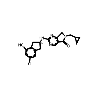 N#Cc1cc(Cl)cc2c1C[C@@H](Nc1ncc3c(n1)CN(CC1CC1)C3=O)C2